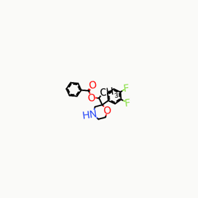 CC(OC(=O)c1ccccc1)C1(c2ccc(F)c(F)c2)CNCCO1